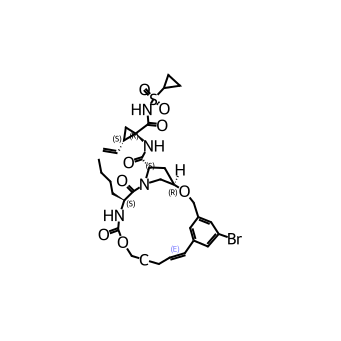 C=C[C@@H]1C[C@]1(NC(=O)[C@@H]1C[C@@H]2CN1C(=O)[C@H](CCCC)NC(=O)OCCC/C=C/c1cc(Br)cc(c1)CO2)C(=O)NS(=O)(=O)C1CC1